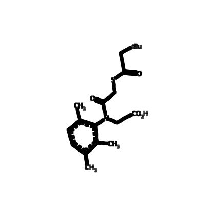 Cc1ccc(C)c(N(CC(=O)O)C(=O)CSC(=O)CC(C)(C)C)c1C